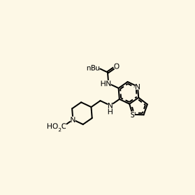 CCCCC(=O)Nc1cnc2ccsc2c1NCC1CCN(C(=O)O)CC1